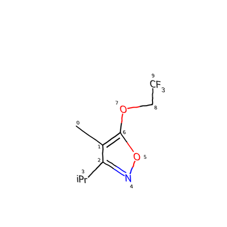 Cc1c(C(C)C)noc1OCC(F)(F)F